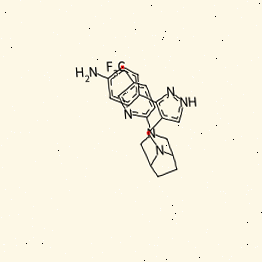 Nc1ccc(-c2n[nH]cc2CN2C3CCC2CN(c2ccc(C(F)(F)F)cn2)C3)cc1